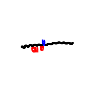 CCCCCCCCCCCCNC(=O)CCCC(O)CCCCC